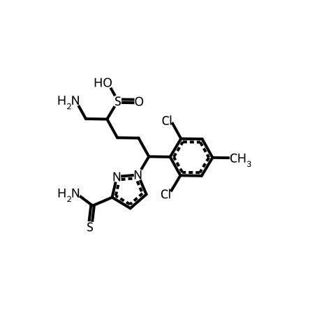 Cc1cc(Cl)c(C(CCC(CN)S(=O)O)n2ccc(C(N)=S)n2)c(Cl)c1